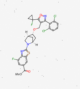 COC(=O)c1cc(F)c2nc(N3C[C@@H]4C[C@H]3C[C@H]4OCc3c(-c4c(Cl)cccc4Cl)noc3C3(F)CC3)sc2c1